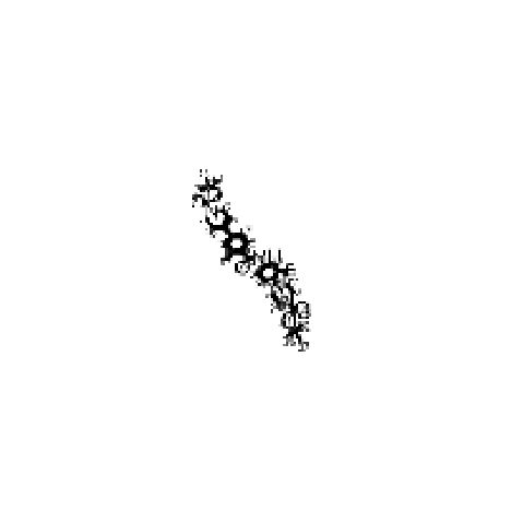 Cc1cc(C2=CCN(C(=O)OC(C)(C)C)CC2)ccc1C(=O)Nc1ccc(N2CCN(C(=O)OC(C)(C)C)CC2)c(F)c1